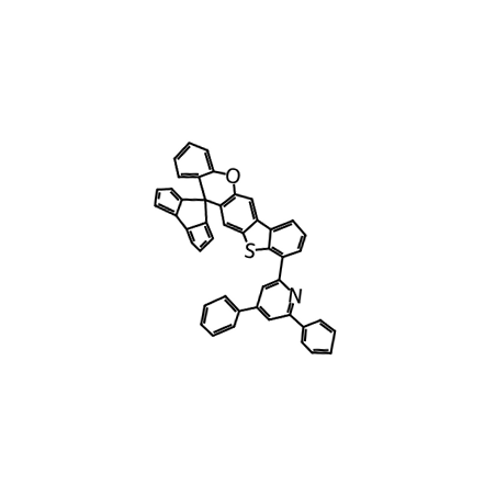 c1ccc(-c2cc(-c3ccccc3)nc(-c3cccc4c3sc3cc5c(cc34)Oc3ccccc3C53c4ccccc4-c4ccccc43)c2)cc1